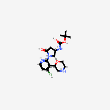 CC(C)(C)OC(=O)NC1CC(=O)N(c2nccc(Cl)c2C2CNCCO2)C1